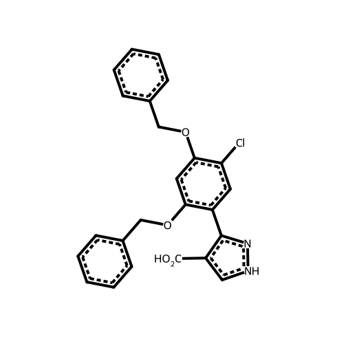 O=C(O)c1c[nH]nc1-c1cc(Cl)c(OCc2ccccc2)cc1OCc1ccccc1